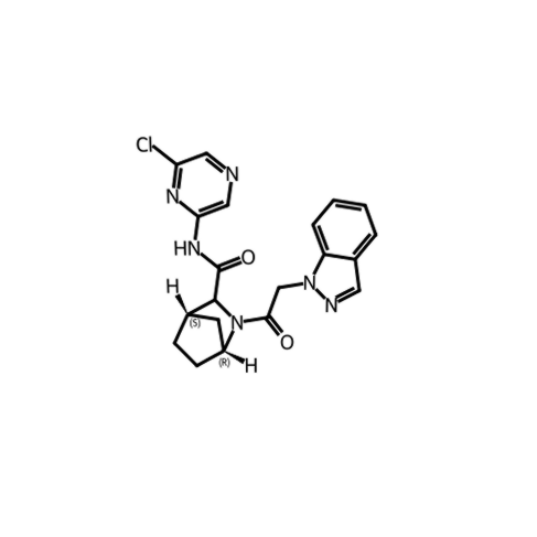 O=C(Nc1cncc(Cl)n1)C1[C@H]2CC[C@H](C2)N1C(=O)Cn1ncc2ccccc21